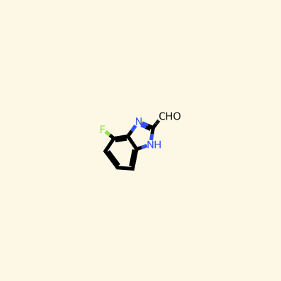 O=Cc1nc2c(F)cccc2[nH]1